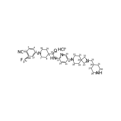 Cl.N#Cc1ccc(N2CCC(C(=O)Nc3ccc(N4CCC5(CC4)CN(CC4CCNCC4)C5)cn3)CC2)cc1C(F)(F)F